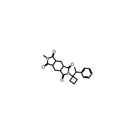 CC(c1ccccc1)C1(N2C(=O)C3CC4C(=O)N(C)C(=O)C4CC3C2=O)CCC1